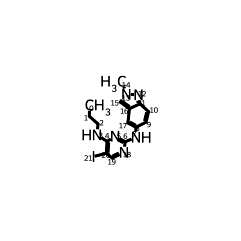 CCCNc1nc(Nc2ccc3nn(C)cc3c2)ncc1I